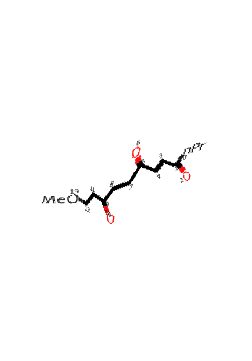 CCCC(=O)CCC(=O)CCC(=O)CCOC